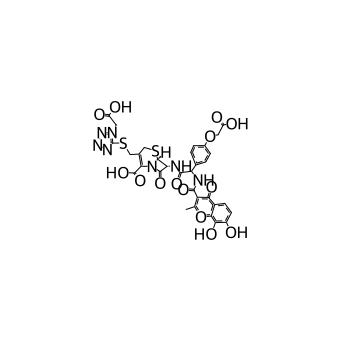 Cc1oc2c(O)c(O)ccc2c(=O)c1C(=O)NC(C(=O)N[C@@H]1C(=O)N2C(C(=O)O)=C(CSc3nnnn3CC(=O)O)CS[C@H]12)c1ccc(OCC(=O)O)cc1